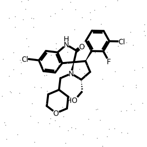 O=C1Nc2cc(Cl)ccc2[C@@]12[C@@H](c1cccc(Cl)c1F)C[C@H](CO)N2CC1CCOCC1